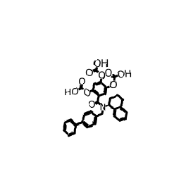 O=C(O)Oc1cc(OC(=O)O)c(C(=O)N(Cc2ccc(-c3ccccc3)cc2)[C@H]2CCCc3ccccc32)cc1OC(=O)O